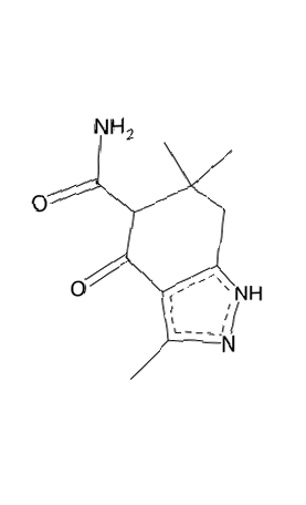 Cc1n[nH]c2c1C(=O)C(C(N)=O)C(C)(C)C2